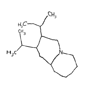 CC(C)C1CC2CCCCN2CC1C(C)C